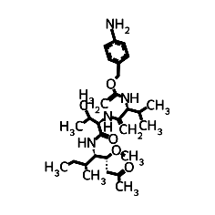 C=C(N[C@H](C(=C)N[C@@H](C(=O)N[C@@H]([C@@H](C)CC)[C@@H](CC(C)=O)OC)C(C)C)C(C)C)OCc1ccc(N)cc1